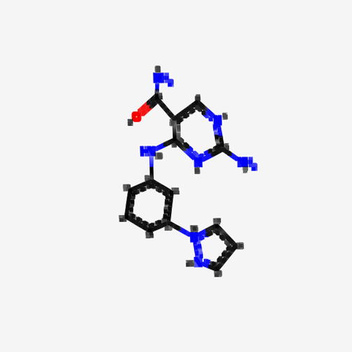 NC(=O)c1cnc(N)nc1Nc1cccc(-n2cccn2)c1